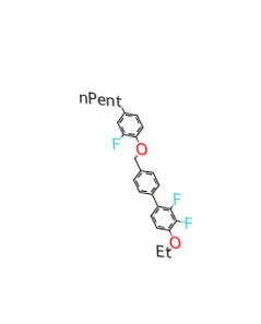 CCCCCc1ccc(OCc2ccc(-c3ccc(OCC)c(F)c3F)cc2)c(F)c1